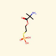 CC(C)(N)C(=O)OCCSP(=O)(O)O